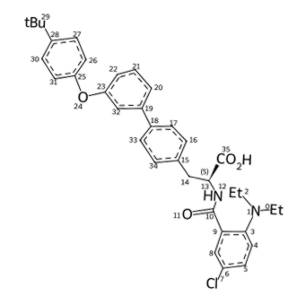 CCN(CC)c1ccc(Cl)cc1C(=O)N[C@@H](Cc1ccc(-c2cccc(Oc3ccc(C(C)(C)C)cc3)c2)cc1)C(=O)O